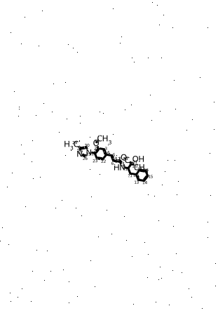 COc1cc(/C=C/C(=O)NC(Cc2ccccc2)C(C)(C)O)ccc1-n1cnc(C)c1